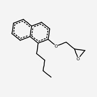 CCCCc1c(OCC2CO2)ccc2ccccc12